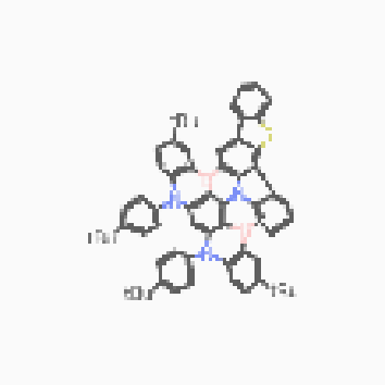 CC(C)(C)c1ccc(N2c3ccc(C(C)(C)C)cc3B3c4c2cc2c5c4-n4c6c3cccc6c3c6sc7ccccc7c6cc(c34)B5c3cc(C(C)(C)C)ccc3N2c2ccc(C(C)(C)C)cc2)cc1